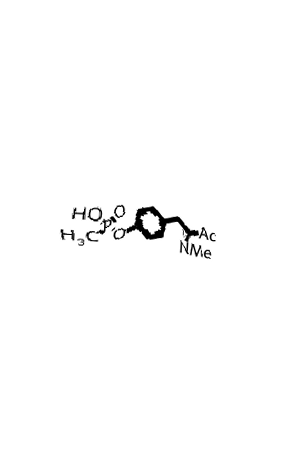 CN[C@@H](Cc1ccc(OP(C)(=O)O)cc1)C(C)=O